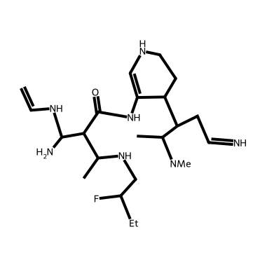 C=CNC(N)C(C(=O)NC1=CNCCC1C(CC=N)C(C)NC)C(C)NCC(F)CC